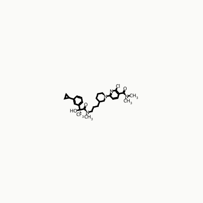 CN(C)C(=O)c1ccc(N2CCCC(CCCN(C)C(=O)[C@@](O)(c3cccc(C4CC4)c3)C(F)(F)F)C2)nc1Cl